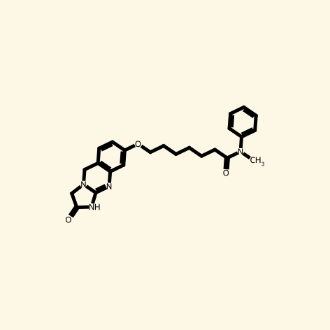 CN(C(=O)CCCCCCOc1ccc2c(c1)N=C1NC(=O)CN1C2)c1ccccc1